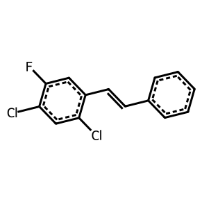 Fc1cc(C=Cc2ccccc2)c(Cl)cc1Cl